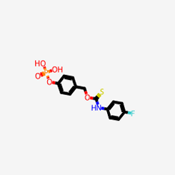 O=P(O)(O)Oc1ccc(COC(=S)Nc2ccc(F)cc2)cc1